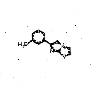 Bc1cccc(-c2cn3ccsc3n2)c1